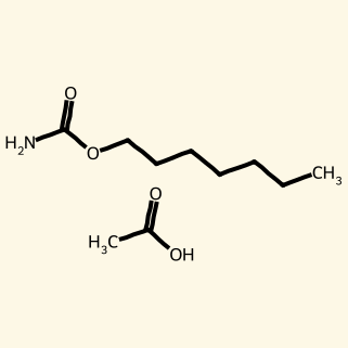 CC(=O)O.CCCCCCCOC(N)=O